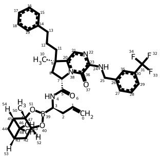 C=CC[C@H](NC(=O)[C@@H]1C[C@@](C)(CCCc2ccccc2)c2cnc(NCc3cccc(C(F)(F)F)c3)c(=O)n21)B1O[C@@H]2C[C@@H]3C[C@@H](C3(C)C)[C@]2(C)O1